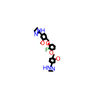 COc1cc(C2=NCCN2)ccc1COc1cccc(OCc2ccc(C3=NCCN3)cc2OC)c1F